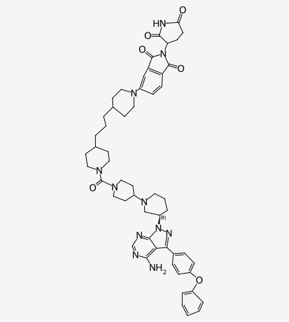 Nc1ncnc2c1c(-c1ccc(Oc3ccccc3)cc1)nn2[C@@H]1CCCN(C2CCN(C(=O)N3CCC(CCCC4CCN(c5ccc6c(c5)C(=O)N(C5CCC(=O)NC5=O)C6=O)CC4)CC3)CC2)C1